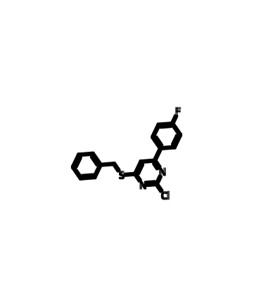 Fc1ccc(-c2cc(SCc3ccccc3)nc(Cl)n2)cc1